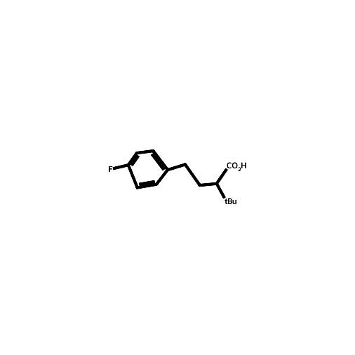 CC(C)(C)C(CCc1ccc(F)cc1)C(=O)O